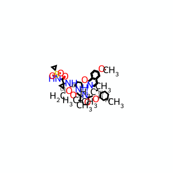 C=C[C@@H]1CC1(NC(=O)[C@@H]1CC(Oc2nccc3cc(OC)ccc23)CN1C(=O)[C@@H](NC(=O)CO[C@@H]1C[C@H](C)CC[C@H]1C(C)C)C(C)(C)C)C(=O)NS(=O)(=O)C1CC1